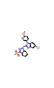 COc1ccc(-n2c(Cn3nc(S(C)(=O)=O)c4ccccc43)nc3cc(Cl)ccc32)cn1